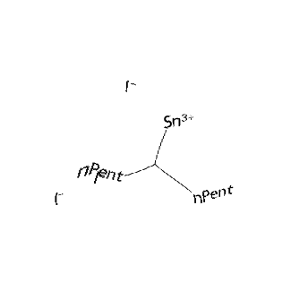 CCCCC[CH]([Sn+3])CCCCC.[I-].[I-].[I-]